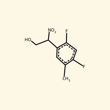 Cc1cc(C(CO)[N+](=O)[O-])c(F)cc1F